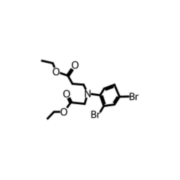 CCOC(=O)CCN(CC(=O)OCC)c1ccc(Br)cc1Br